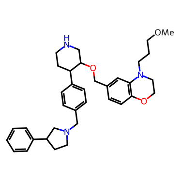 COCCCN1CCOc2ccc(COC3CNCCC3c3ccc(CN4CCC(c5ccccc5)C4)cc3)cc21